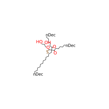 CCCCCCCCCCCCCCCCCCCCCCC(C(=O)CCCCCCCCCCCCCCC)(C(=O)CCCCCCCCCCCCCCC)C(=S)OCC(O)CO